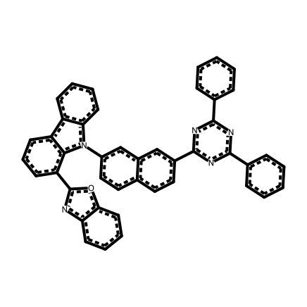 c1ccc(-c2nc(-c3ccccc3)nc(-c3ccc4ccc(-n5c6ccccc6c6cccc(-c7nc8ccccc8o7)c65)cc4c3)n2)cc1